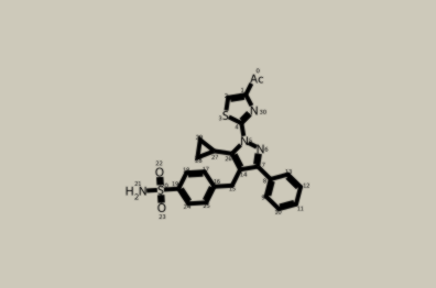 CC(=O)c1csc(-n2nc(-c3ccccc3)c(Cc3ccc(S(N)(=O)=O)cc3)c2C2CC2)n1